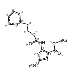 CCCCCCCCCCc1cc(C(=O)OC(C)(C)C)c(NC(=O)OCCc2ccccc2)s1